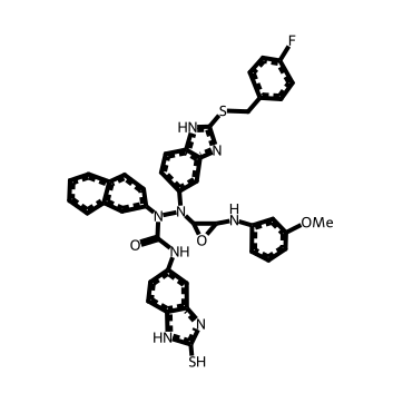 COc1cccc(NC2OC2N(c2ccc3[nH]c(SCc4ccc(F)cc4)nc3c2)N(C(=O)Nc2ccc3[nH]c(S)nc3c2)c2ccc3ccccc3c2)c1